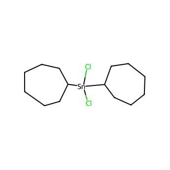 [Cl][Sn]([Cl])([CH]1CCCCCC1)[CH]1CCCCCC1